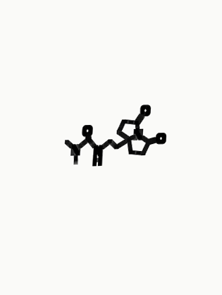 CN(C)C(=O)NCCC12CCC(=O)N1C(=O)CC2